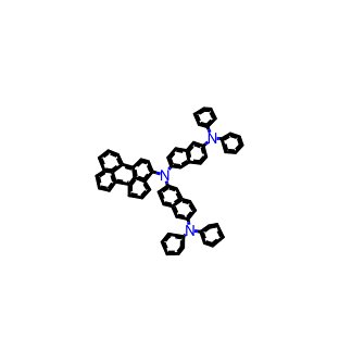 c1ccc(N(c2ccccc2)c2ccc3cc(N(c4ccc5cc(N(c6ccccc6)c6ccccc6)ccc5c4)c4ccc5c6cccc7cccc(c8cccc4c85)c76)ccc3c2)cc1